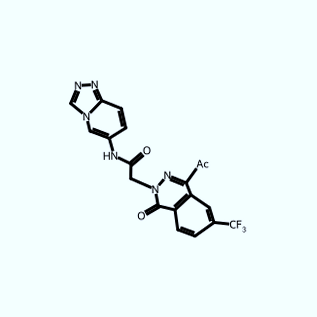 CC(=O)c1nn(CC(=O)Nc2ccc3nncn3c2)c(=O)c2ccc(C(F)(F)F)cc12